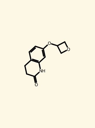 O=C1CCc2ccc(OC3COC3)cc2N1